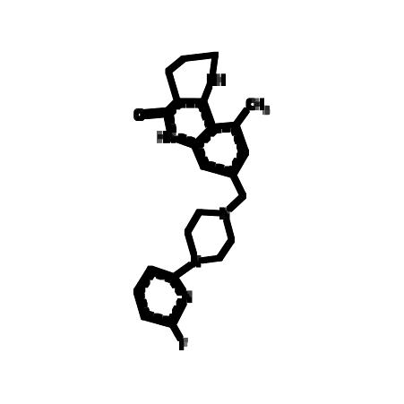 Cc1cc(CN2CCN(c3cccc(F)n3)CC2)cc2[nH]c(=O)c3c(c12)NCCC3